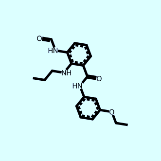 CCCNc1c(NC=O)cccc1C(=O)Nc1cccc(OCC)c1